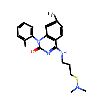 Cc1ccccc1-n1c(=O)nc(NCCCSN(C)C)c2ccc(C(F)(F)F)cc21